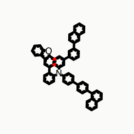 c1cc(-c2cccc(N(c3ccc(-c4ccc(-c5cccc6ccccc56)cc4)cc3)c3ccccc3-c3ccc4oc5ccccc5c4c3)c2)cc(-c2ccc3ccccc3c2)c1